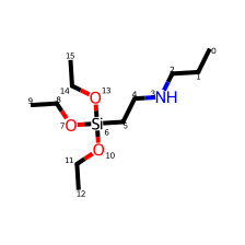 CCCNCC[Si](OCC)(OCC)OCC